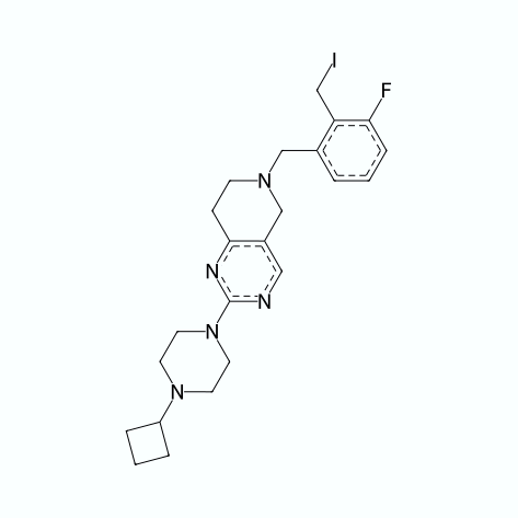 Fc1cccc(CN2CCc3nc(N4CCN(C5CCC5)CC4)ncc3C2)c1CI